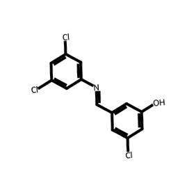 Oc1cc(Cl)cc(C=Nc2cc(Cl)cc(Cl)c2)c1